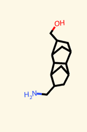 NCC1CC2CC1C1C3CC(CC3CO)C21